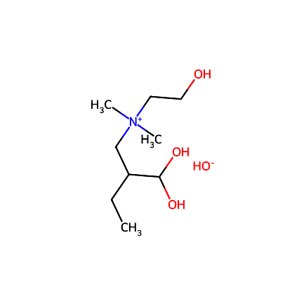 CCC(C[N+](C)(C)CCO)C(O)O.[OH-]